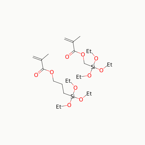 C=C(C)C(=O)OCCC[Si](OCC)(OCC)OCC.C=C(C)C(=O)OC[Si](OCC)(OCC)OCC